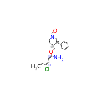 C=C/C(Cl)=C\C=C(/N)OC[C@H]1CCN(C=O)C[C@@H]1c1ccccc1